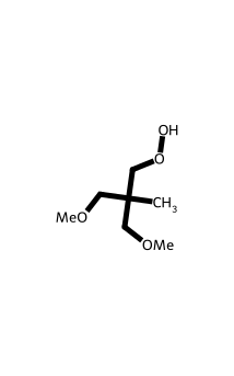 COCC(C)(COC)COO